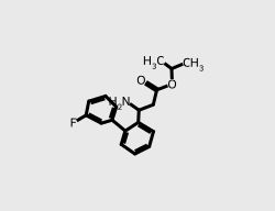 CC(C)OC(=O)CC(N)c1ccccc1-c1cccc(F)c1